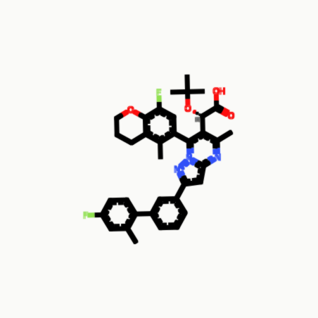 Cc1cc(F)ccc1-c1cccc(-c2cc3nc(C)c([C@H](OC(C)(C)C)C(=O)O)c(-c4cc(F)c5c(c4C)CCCO5)n3n2)c1